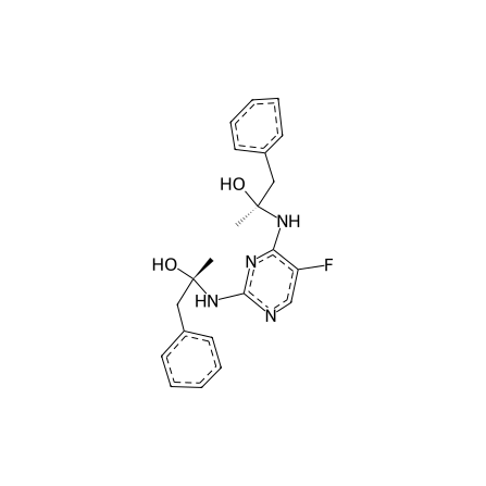 C[C@](O)(Cc1ccccc1)Nc1ncc(F)c(N[C@@](C)(O)Cc2ccccc2)n1